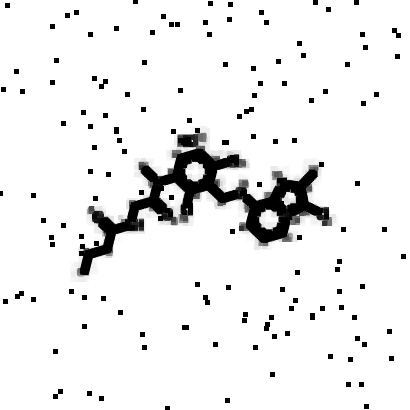 CCCC(=O)NCC(=O)N(C)c1ccc(Cl)c(COc2cccn3c(Cl)c(C)nc23)c1Cl.Cl